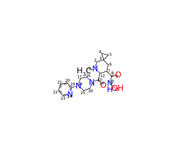 CN1CC2(CC2)CC(C(=O)NO)C1C(=O)N1CCN(c2ccccn2)CC1